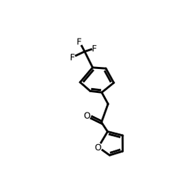 O=C(Cc1ccc(C(F)(F)F)cc1)c1ccco1